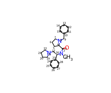 CN(C(=O)C1CCCN1Cc1ccccc1)[C@H](CN1CCCC1)c1ccccc1